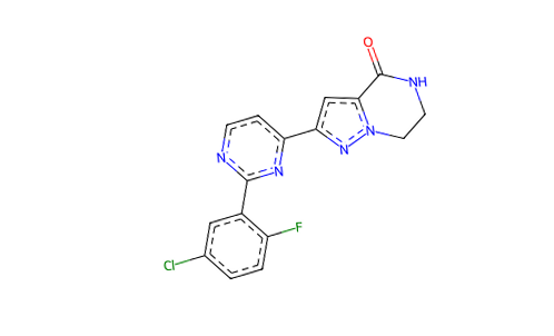 O=C1NCCn2nc(-c3ccnc(-c4cc(Cl)ccc4F)n3)cc21